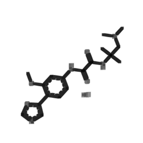 COc1cc(NC(=O)C(=O)NC(C)(C)CN(C)C)ccc1-c1cnco1.Cl